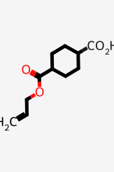 C=CCOC(=O)C1CCC(C(=O)O)CC1